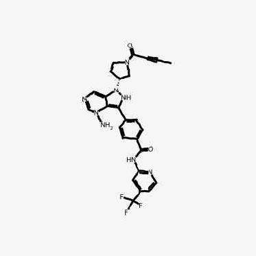 CC#CC(=O)N1CC[C@@H](N2NC(c3ccc(C(=O)Nc4cc(C(F)(F)F)ccn4)cc3)=C3C2=CN=CN3N)C1